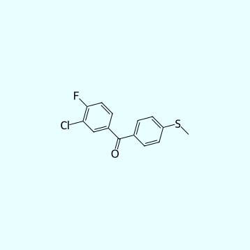 CSc1ccc(C(=O)c2ccc(F)c(Cl)c2)cc1